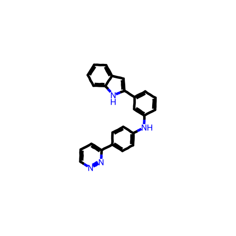 c1cc(Nc2ccc(-c3cccnn3)cc2)cc(-c2cc3ccccc3[nH]2)c1